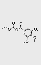 CCOC(=O)OC(=O)c1cc(OC)c(OC)c(OC)c1